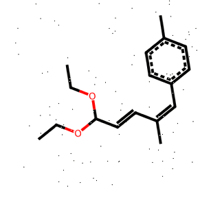 CCOC(C=CC(C)=Cc1ccc(C)cc1)OCC